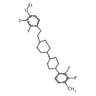 CCOc1ccc(CCC2CCC(C3CCC(c4ccc(C)c(F)c4F)CC3)CC2)c(F)c1F